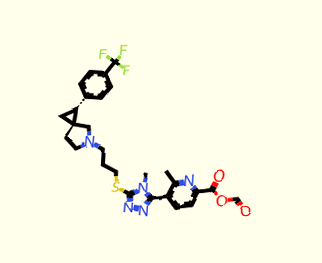 Cc1nc(C(=O)OC=O)ccc1-c1nnc(SCCCN2CC[C@]3(C[C@@H]3c3ccc(C(F)(F)F)cc3)C2)n1C